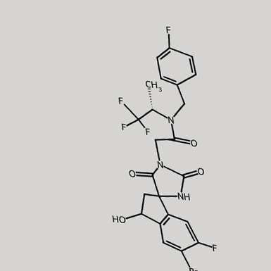 C[C@H](N(Cc1ccc(F)cc1)C(=O)CN1C(=O)NC2(CC(O)c3cc(Br)c(F)cc32)C1=O)C(F)(F)F